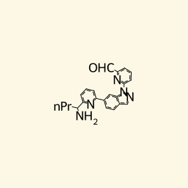 CCCC(N)c1cccc(-c2ccc3cnn(-c4cccc(C=O)n4)c3c2)n1